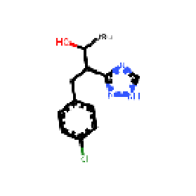 CC(C)(C)C(O)C(Cc1ccc(Cl)cc1)c1nc[nH]n1